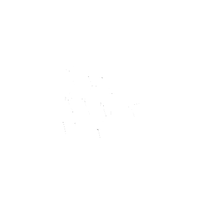 O=P(O)(O)O.OCCNCCO.OCCNCCO.OCCNCCO